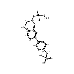 CC(C)(CO)CN1C=c2cc(-c3ccc(OC(F)(F)F)cc3)ccc2=NC1